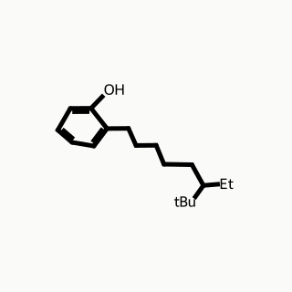 CCC(CCCCCc1ccccc1O)C(C)(C)C